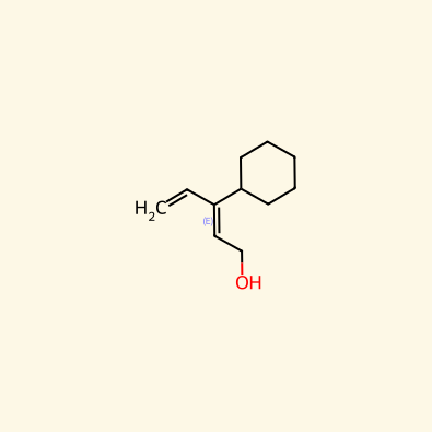 C=C/C(=C/CO)C1CCCCC1